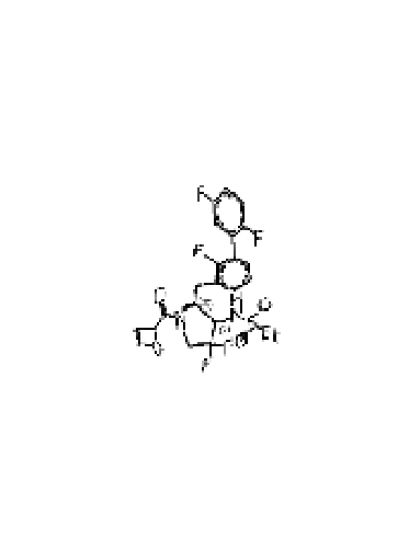 CCS(=O)(=O)N[C@@H]1[C@H](Cc2cccc(-c3cc(F)ccc3F)c2F)N(C(=O)C2CCO2)CC1(F)F